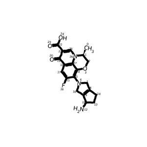 C[C@H]1COc2c(N3CC4=C(C3)C(N)CC4)c(F)cc3c(=O)c(C(=O)O)cn1c23